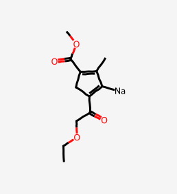 CCOCC(=O)C1=[C]([Na])C(C)=C(C(=O)OC)C1